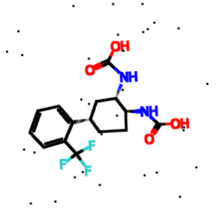 O=C(O)N[C@H]1CC[C@H](c2ccccc2C(F)(F)F)C[C@@H]1NC(=O)O